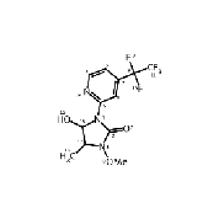 CON1C(=O)N(c2cc(C(F)(F)C(F)(F)F)ccn2)C(O)C1C